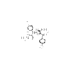 CCC(C(N)=O)N(c1ccc(F)cc1)c1nc(N)c(C(=O)c2ccc(OC)cc2)s1